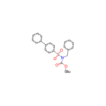 CC(C)(C)OC(=O)N(Cc1ccccc1)S(=O)(=O)c1ccc(-c2ccccc2)cc1